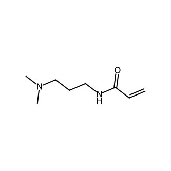 C=CC(=O)NCCCN(C)C